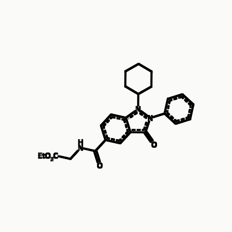 CCOC(=O)CNC(=O)c1ccc2c(c1)c(=O)n(-c1ccccc1)n2C1CCCCC1